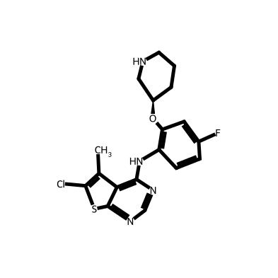 Cc1c(Cl)sc2ncnc(Nc3ccc(F)cc3O[C@@H]3CCCNC3)c12